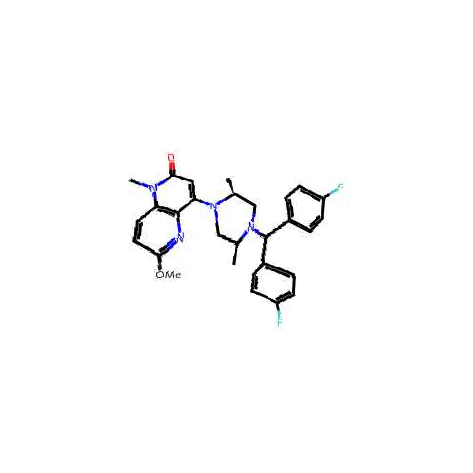 COc1ccc2c(n1)c(N1CC(C)N(C(c3ccc(F)cc3)c3ccc(F)cc3)C[C@@H]1C)cc(=O)n2C